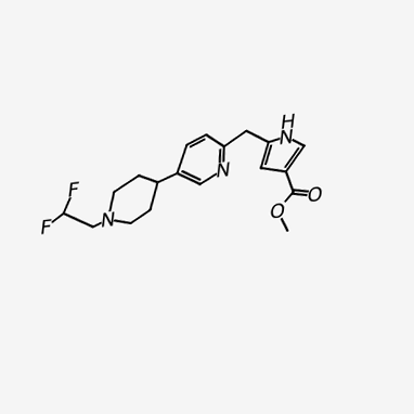 COC(=O)c1c[nH]c(Cc2ccc(C3CCN(CC(F)F)CC3)cn2)c1